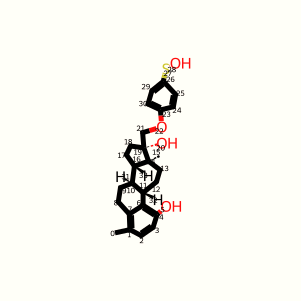 Cc1ccc(O)c2c1CC[C@@H]1[C@@H]2CC[C@@]2(C)[C@H]1CC[C@@]2(O)COc1ccc(SO)cc1